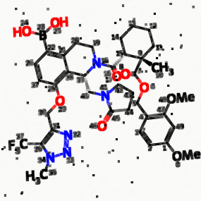 COc1ccc(COC(=O)[C@@]2(C)CCCC[C@H]2C(=O)N2CCc3c(B(O)O)ccc(OCc4nnn(C)c4C(F)(F)F)c3[C@H]2CN2CCCC2=O)c(OC)c1